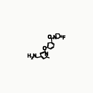 Cc1cc(CN)cc(Oc2cccc(C(=O)N3CC[C@H](F)C3)c2)n1